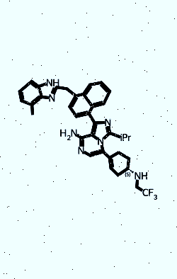 Cc1cccc2[nH]c(Cc3ccc(-c4nc(C(C)C)n5c(C6=CC[C@@H](NCC(F)(F)F)CC6)cnc(N)c45)c4ccccc34)nc12